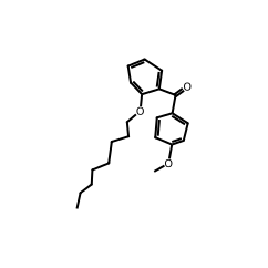 CCCCCCCCOc1ccccc1C(=O)c1ccc(OC)cc1